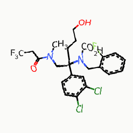 CN(C[C@](CCCO)(c1ccc(Cl)c(Cl)c1)N(Cc1ccccc1F)C(=O)O)C(=O)CC(F)(F)F